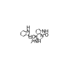 C[C@@H](CCc1c[nH]c2ccccc12)N[C@@H]1CCn2c(=O)[nH]c3cccc(c32)[C@H]1O